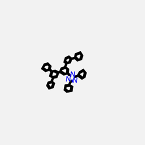 c1ccc(-c2cccc(-c3cc(-c4cc(-c5ccccc5)cc(-c5ccccc5)c4)cc(-c4nc(-c5ccccc5)nc(-c5ccccc5)n4)c3)c2)cc1